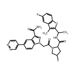 Cc1c(C(C)NC(=O)C2CC(F)CN2C(=O)Cn2nc(C(N)=O)c3cc(-c4ccnnc4)ccc32)oc2ccc(F)cc12